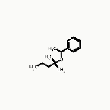 CCCC(C)(C)OC(C)c1ccccc1